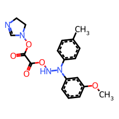 COc1cccc(N(NOC(=O)C(=O)ON2C=NCC2)c2ccc(C)cc2)c1